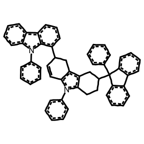 C1=CC(c2cccc3c4ccccc4n(-c4ccccc4)c23)Cc2c3c(n(-c4ccccc4)c21)CCC(C1(c2ccccc2)c2ccccc2-c2ccccc21)C3